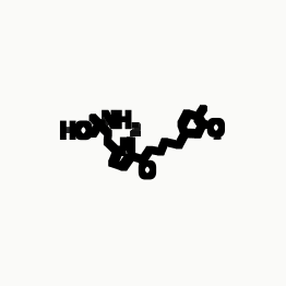 COc1cc(CCCCC(=O)c2ccc(CCC(C)(N)CO)n2C)ccc1C